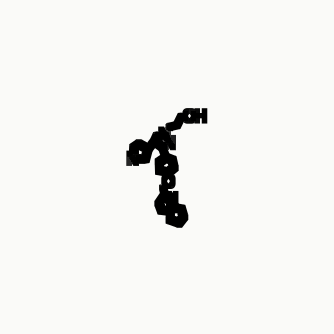 OCCCn1cc(-c2ccncc2)c(-c2ccc(OCc3ccc4ccccc4n3)cc2)n1